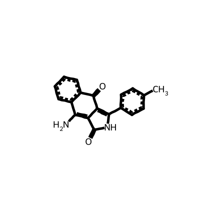 Cc1ccc(C2=C3C(=O)c4ccccc4C(N)=C3C(=O)N2)cc1